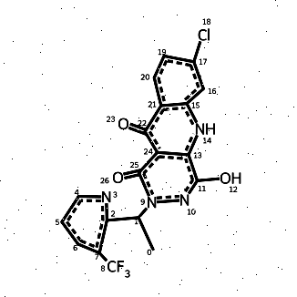 CC(c1ncccc1C(F)(F)F)n1nc(O)c2[nH]c3cc(Cl)ccc3c(=O)c2c1=O